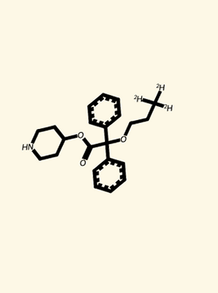 [2H]C([2H])([2H])CCOC(C(=O)OC1CCNCC1)(c1ccccc1)c1ccccc1